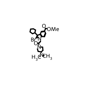 COC(=O)c1ccc2c(c1)c(C1CCCCC1)c(Br)n2CC(=O)N1CCC(N(C)C)CC1